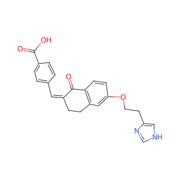 O=C(O)c1ccc(C=C2CCc3cc(OCCc4c[nH]cn4)ccc3C2=O)cc1